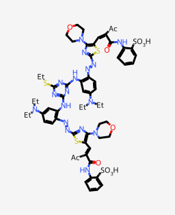 CCSc1nc(Nc2cc(N(CC)CC)ccc2/N=N/c2nc(N3CCOCC3)c(/C=C(/C(C)=O)C(=O)Nc3ccccc3S(=O)(=O)O)s2)nc(Nc2cc(N(CC)CC)ccc2/N=N/c2nc(N3CCOCC3)c(/C=C(\C(C)=O)C(=O)Nc3ccccc3S(=O)(=O)O)s2)n1